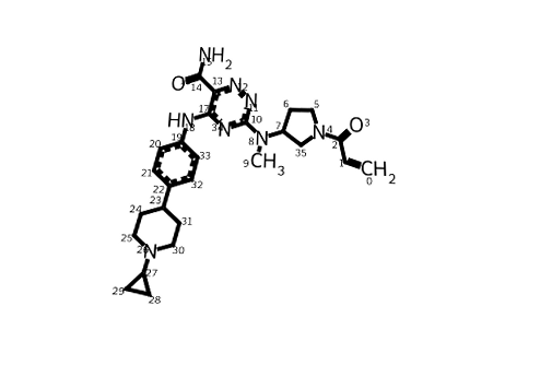 C=CC(=O)N1CCC(N(C)c2nnc(C(N)=O)c(Nc3ccc(C4CCN(C5CC5)CC4)cc3)n2)C1